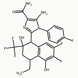 CCC1CC(O)(C(F)(F)F)C(c2nc(C(N)=O)c(N)n2-c2ccc(F)cc2)c2cc(F)c(F)c(O)c21